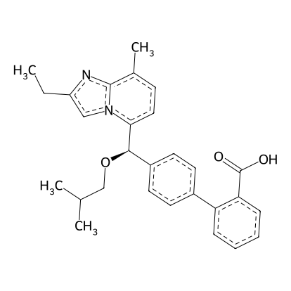 CCc1cn2c([C@H](OCC(C)C)c3ccc(-c4ccccc4C(=O)O)cc3)ccc(C)c2n1